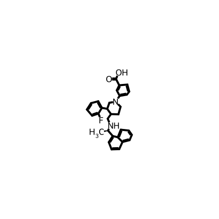 C[C@@H](NCC1CCN(c2cccc(C(=O)O)c2)CC1c1ccccc1F)c1cccc2ccccc12